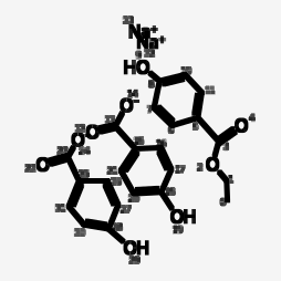 CCOC(=O)c1ccc(O)cc1.O=C([O-])c1ccc(O)cc1.O=C([O-])c1ccc(O)cc1.[Na+].[Na+]